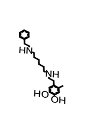 Cc1cc(O)c(O)cc1CCNCCCCCCNCCc1ccccc1